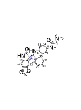 CN(C)CC(=O)N(C)c1ccc(N/C(=C2\C(=O)Nc3cc4c(cc32)OCO4)c2ccccc2)cc1